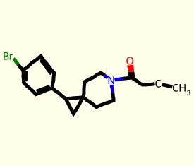 CCCC(=O)N1CCC2(CC1)CC2c1ccc(Br)cc1